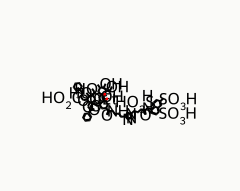 CCC1CC(C(=O)NCCCc2cn(CCCC(=O)Nc3ccc(S(=O)(=O)O)c4cc(S(=O)(=O)O)cc(S(=O)(=O)O)c34)nn2)CC(OC2OC(CO)C(O)C(O[C@@H](CC3CCCCC3)C(=O)O)C2OC(=O)c2ccccc2)C1OC1CC(C)C(O)C(CO)C1O